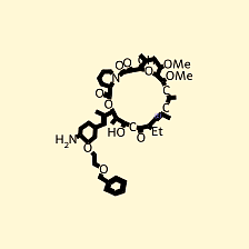 CCC1/C=C(\C)CC(C)CC(OC)C2OC(O)(C(=O)C(=O)N3CCCCC3C(=O)OC(C(C)=CC3CCC(N)C(OCCOCc4ccccc4)C3)C(C)C(O)CC1=O)C(C)CC2OC